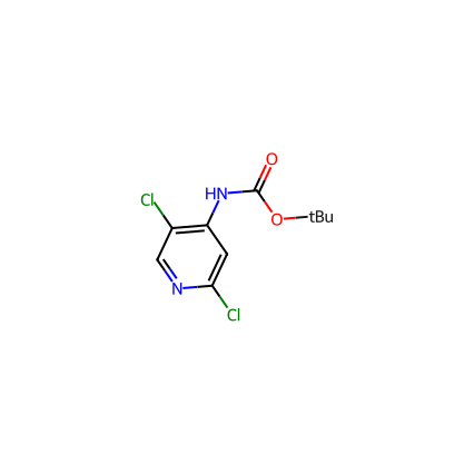 CC(C)(C)OC(=O)Nc1cc(Cl)ncc1Cl